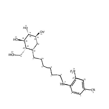 N#Cc1ccc(NCCCCCCN2C[C@H](O)[C@@H](O)[C@H](O)[C@H]2CO)c([N+](=O)[O-])c1